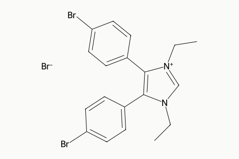 CCn1c[n+](CC)c(-c2ccc(Br)cc2)c1-c1ccc(Br)cc1.[Br-]